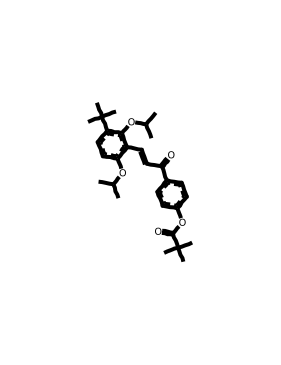 CC(C)Oc1ccc(C(C)(C)C)c(OC(C)C)c1C=CC(=O)c1ccc(OC(=O)C(C)(C)C)cc1